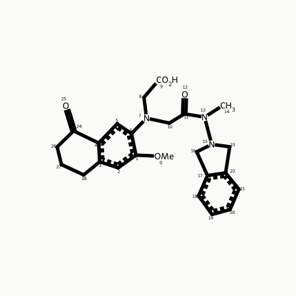 COc1cc2c(cc1N(CC(=O)O)CC(=O)N(C)N1Cc3ccccc3C1)C(=O)CCC2